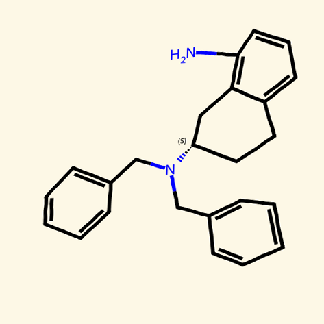 Nc1cccc2c1C[C@@H](N(Cc1ccccc1)Cc1ccccc1)CC2